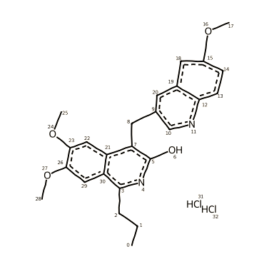 CCCc1nc(O)c(Cc2cnc3ccc(OC)cc3c2)c2cc(OC)c(OC)cc12.Cl.Cl